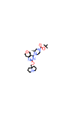 C[C@H]1CN(C(=O)OC(C)(C)C)CCN1c1nc(OCC23CCCN2CCC3)nc2c1COCC2